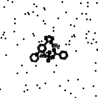 Cn1ncnc1-c1ccc(N2CCCCC2)c(NS(=O)(=O)OC(=O)c2ccccc2)c1